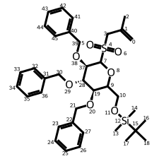 C=C(C)CS(=O)(=O)C1OC(CO[Si](C)(C)C(C)(C)C)[C@@H](OCc2ccccc2)[C@H](OCc2ccccc2)[C@H]1OCc1ccccc1